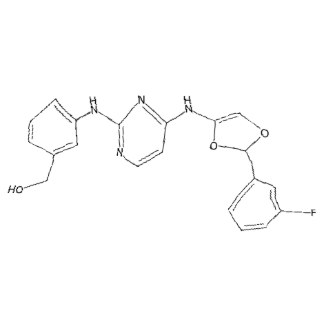 OCc1cccc(Nc2nccc(NC3=COC(c4cccc(F)c4)O3)n2)c1